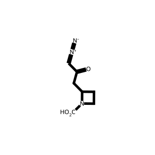 [N-]=[N+]=CC(=O)CC1CCN1C(=O)O